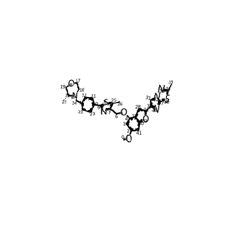 COc1cc(OCc2nc(-c3ccc(CN4CCOC[C@H]4C)cc3)sc2C)c2cc(-c3cn4nc(C)sc4n3)oc2c1